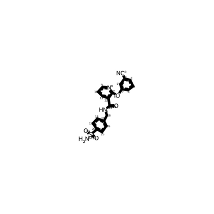 N#Cc1cccc(Oc2ncccc2C(=O)NCc2ccc(S(N)(=O)=O)cc2)c1